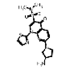 CN(C)S(=O)(=O)c1cn(-c2nccs2)c2nc(N3CC[C@@H](N)C3)ccc2c1=O